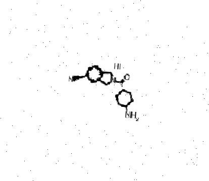 I.N#Cc1ccc2c(c1)CN(C(=O)[C@H]1CC[C@H](N)CC1)C2